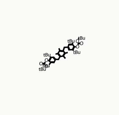 Cc1c(C)c(Cc2cc(C(C)(C)C)c(OC(=O)OC(C)(C)C)c(C(C)(C)C)c2)c(C)c(C)c1Cc1cc(C(C)(C)C)c(OC(=O)OC(C)(C)C)c(C(C)(C)C)c1